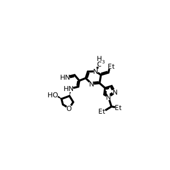 CC/C=C1/C(c2cnn(C(CC)CC)c2)=NC(/C(C=N)=C/N[C@@H]2COC[C@H]2O)=CN1C